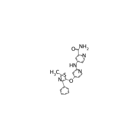 Cc1nc(-c2ccccc2)c(Oc2ccnc(Nc3ccnc(C(N)=O)c3)c2)s1